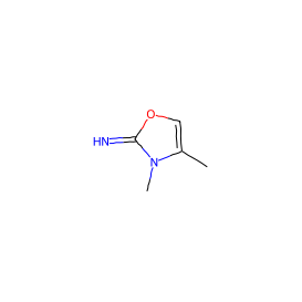 Cc1coc(=N)n1C